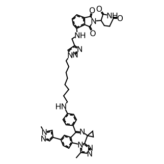 Cc1nnc2n1-c1ccc(-c3cnn(C)c3)cc1C(c1ccc(NCCCCCCCCn3cc(CNc4cccc5c4C(=O)N(C4CCC(=O)NC4=O)C5=O)nn3)cc1)=NC21CC1